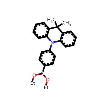 CCOB(OCC)c1ccc(N2c3ccccc3C(C)(C)c3ccccc32)cc1